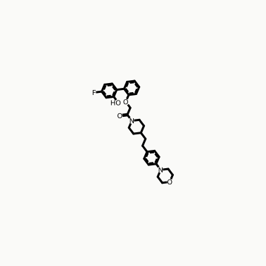 O=C(COc1ccccc1-c1ccc(F)cc1O)N1CCC(CCc2ccc(N3CCOCC3)cc2)CC1